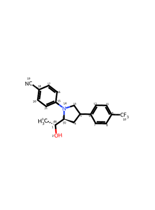 C[C@@H](O)[C@@H]1CC(c2ccc(C(F)(F)F)cc2)CN1c1ccc(C#N)cc1